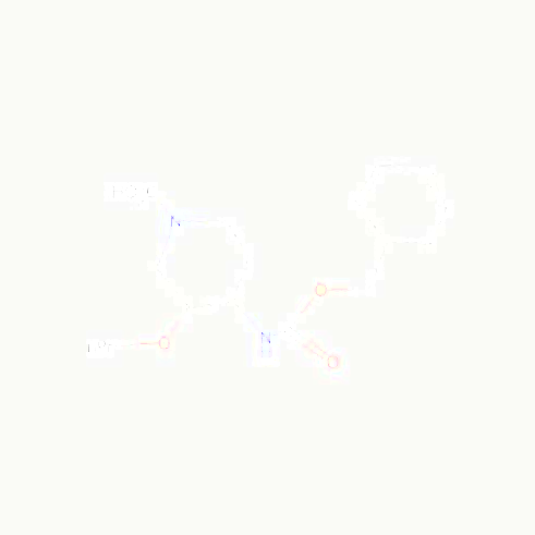 CCCOC1CN(C(=O)O)CCC1NC(=O)OCc1ccccc1